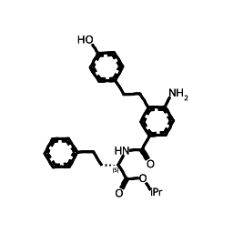 CC(C)OC(=O)[C@H](CCc1ccccc1)NC(=O)c1ccc(N)c(CCc2ccc(O)cc2)c1